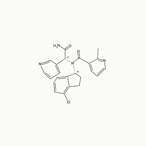 Cc1ncccc1C(=O)N([C@@H]1CCc2c(Cl)cccc21)[C@@H](C(N)=O)c1cccnc1